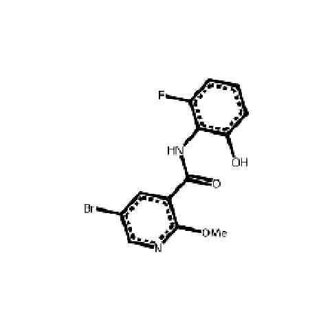 COc1ncc(Br)cc1C(=O)Nc1c(O)cccc1F